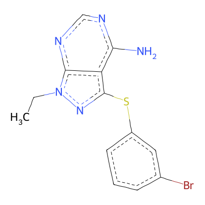 CCn1nc(Sc2cccc(Br)c2)c2c(N)ncnc21